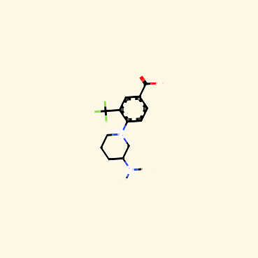 CN(C)C1CCCN(c2ccc(C(=O)O)cc2C(F)(F)F)C1